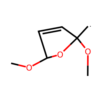 [CH2]C1(OC)C=CC(OC)O1